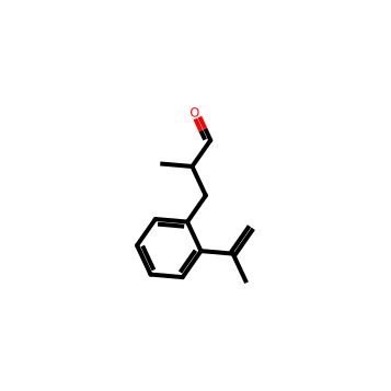 C=C(C)c1ccccc1CC(C)C=O